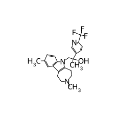 Cc1ccc2c(c1)c1c(n2CC(C)(O)c2ccc(C(F)(F)F)nc2)CCN(C)CC1